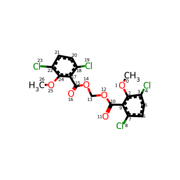 COc1c(Cl)ccc(Cl)c1C(=O)OCOC(=O)c1c(Cl)ccc(Cl)c1OC